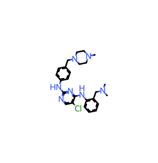 CN(C)Cc1ccccc1Nc1nc(Nc2ccc(CN3CCN(C)CC3)cc2)ncc1Cl